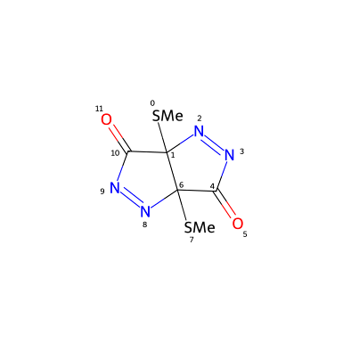 CSC12N=NC(=O)C1(SC)N=NC2=O